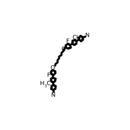 Cc1cc(-c2ccc(OCCCCCCCCCOc3ccc(-c4ccc(-c5ccc(C#N)cc5)c(C)c4)c(F)c3)cc2F)ccc1-c1ccc(C#N)cc1